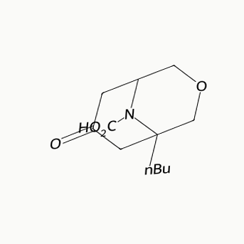 CCCCC12COCC(CC(=O)C1)N2C(=O)O